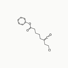 O=C=C(CCCl)CCCCC(=O)Oc1ccccc1